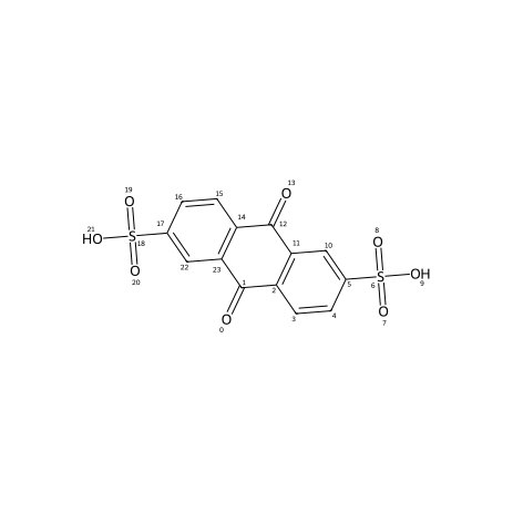 O=C1c2ccc(S(=O)(=O)O)cc2C(=O)c2ccc(S(=O)(=O)O)cc21